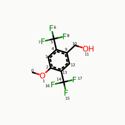 COc1cc(C(F)(F)F)c(CO)cc1C(F)(F)F